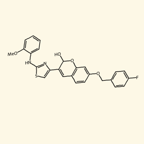 COc1ccccc1Nc1nc(C2=Cc3ccc(OCc4ccc(F)cc4)cc3OC2O)cs1